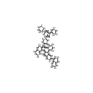 c1ccc(-c2cc(-c3ccc(-n4c5ccc6ccccc6c5c5c6sc7ccc(-c8cccc9ccccc89)cc7c6c6ccccc6c54)cc3)nc(-c3ccccc3)n2)cc1